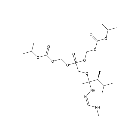 CN/C=N\NC(C)(OCP(=O)(OCOC(=O)OC(C)C)OCOC(=O)OC(C)C)[C@@H](C)C(C)C